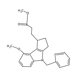 COC(=O)CCC1CCc2c1c1c(OC)cccc1n2Cc1ccccc1